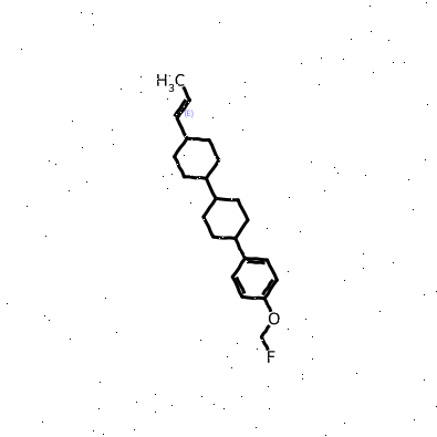 C/C=C/C1CCC(C2CCC(c3ccc(OCF)cc3)CC2)CC1